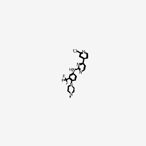 CN1CCN(c2ccc(Nc3nccc(-c4ccnc(Cl)c4)n3)cc2C(F)(F)F)CC1